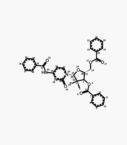 C[C@]1(F)C(OC(=O)c2ccccc2)[C@@H](COC(=O)c2ccccc2)O[C@H]1n1ccc(NC(=O)c2ccccc2)nc1=O